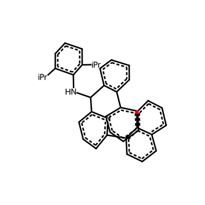 CC(C)c1cccc(C(C)C)c1NC(c1cccc(-c2cccc3ccccc23)n1)c1ccccc1-c1ccccc1